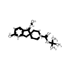 CC(C)(C)OC(=O)N1CCC2(CC1)Cc1nc(Cl)ccc1C2=C=O